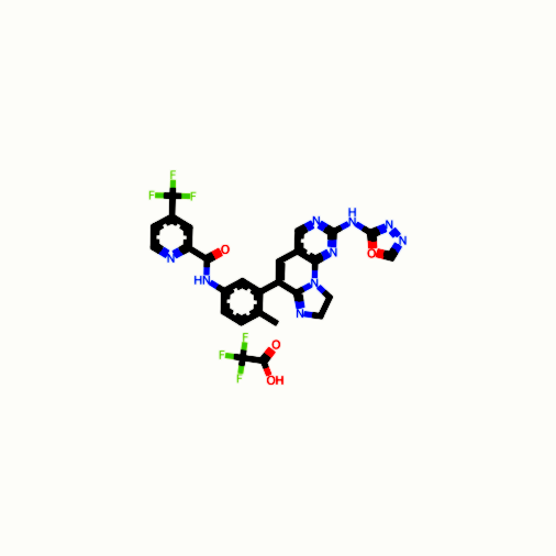 Cc1ccc(NC(=O)c2cc(C(F)(F)F)ccn2)cc1C1=Cc2cnc(Nc3nnco3)nc2N2CCN=C12.O=C(O)C(F)(F)F